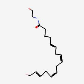 BC/C=C/C/C=C\C/C=C\C/C=C/CCCC(=O)NCCO